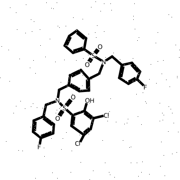 O=S(=O)(c1ccccc1)N(Cc1ccc(F)cc1)Cc1ccc(CN(Cc2ccc(F)cc2)S(=O)(=O)c2cc(Cl)cc(Cl)c2O)cc1